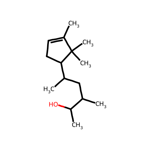 CC1=CCC(C(C)CC(C)C(C)O)C1(C)C